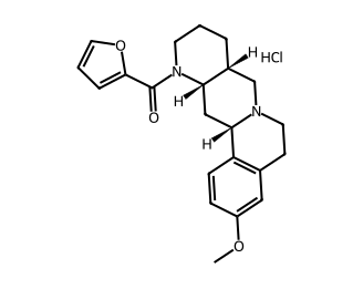 COc1ccc2c(c1)CCN1C[C@H]3CCCN(C(=O)c4ccco4)[C@H]3C[C@@H]21.Cl